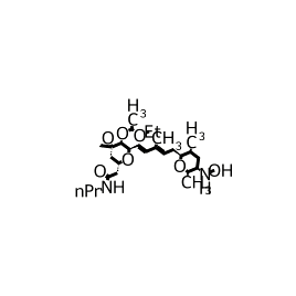 CCCNC(=O)C[C@@H]1C[C@@]2(CO2)[C@H](OC(C)OCC)[C@@H](/C=C/C(C)=C/C[C@@H]2O[C@H](C)[C@H](NO)C[C@@H]2C)O1